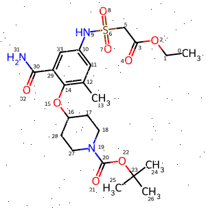 CCOC(=O)CS(=O)(=O)Nc1cc(C)c(OC2CCN(C(=O)OC(C)(C)C)CC2)c(C(N)=O)c1